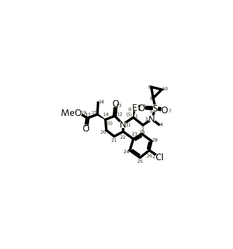 CC[C@@H](CN(C)S(=O)(=O)C1CC1)N1C(=O)[C@H](C(C)C(=O)OC)CCC1c1ccc(Cl)cc1